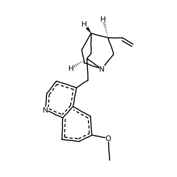 C=C[C@H]1CN2CC[C@H]1C[C@@H]2Cc1ccnc2ccc(OC)cc12